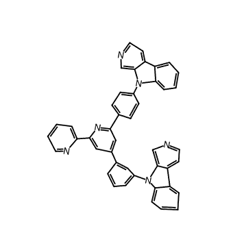 c1ccc(-c2cc(-c3cccc(-n4c5ccccc5c5ccncc54)c3)cc(-c3ccc(-n4c5ccccc5c5ccncc54)cc3)n2)nc1